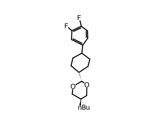 CCCC[C@H]1CO[C@H](C2CCC(c3ccc(F)c(F)c3)CC2)OC1